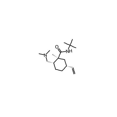 C=C[C@@H]1CC[C@H](CN(C)C)[C@@](C)(C(=O)NC(C)(C)C)C1